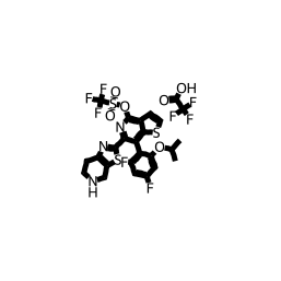 CC(C)Oc1cc(F)cc(F)c1-c1c(-c2nc3c(s2)CNCC3)nc(OS(=O)(=O)C(F)(F)F)c2ccsc12.O=C(O)C(F)(F)F